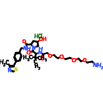 Cc1ncsc1-c1ccc(CNC(=O)C2CC(O)CN2C(=O)C(NC(=O)COCCOCCOCCOCCN)C(C)(C)C)cc1.Cl